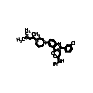 CC(C)NC(=O)Cn1c(-c2cccc(Cl)c2)nc2ccc(N3CCCN(C(C)CN(C)C)CC3)cc2c1=O